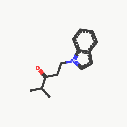 CC(C)C(=O)CCn1ccc2ccccc21